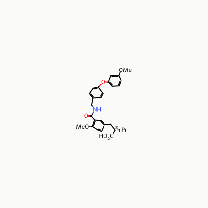 CCC[C@@H](Cc1ccc(OC)c(C(=O)NCc2ccc(Oc3cccc(OC)c3)cc2)c1)C(=O)O